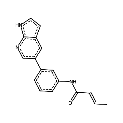 C/C=C/C(=O)Nc1cccc(-c2cnc3[nH]ccc3c2)c1